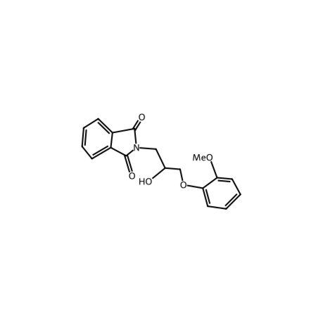 COc1ccccc1OCC(O)CN1C(=O)c2ccccc2C1=O